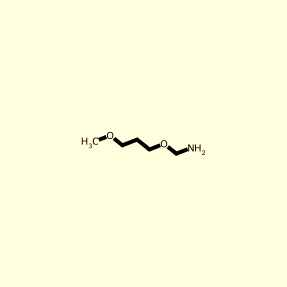 COCCCOCN